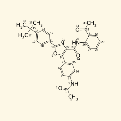 CC(=O)Nc1ccc(-c2oc(-c3ccc(C(C)(C)C)cc3)nc2C(=O)Nc2ccccc2C(C)=O)cc1